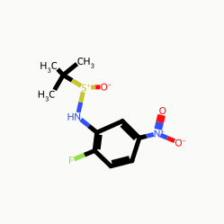 CC(C)(C)[S+]([O-])Nc1cc([N+](=O)[O-])ccc1F